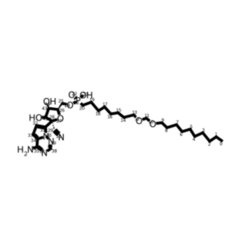 CCCCCCCCCCOCOCCCCCCCCP(=O)(O)OC[C@H]1O[C@@](C#N)(c2ccc3c(N)ncnn23)C(O)[C@H]1O